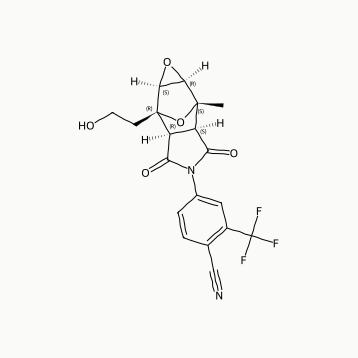 C[C@]12O[C@](CCO)([C@@H]3C(=O)N(c4ccc(C#N)c(C(F)(F)F)c4)C(=O)[C@@H]31)[C@H]1O[C@H]12